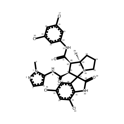 Cn1nccc1NC(=O)[C@H]1[C@@H](C(=O)Nc2cc(Cl)cc(Cl)c2)[C@H]2CCCN2C12C(=O)Nc1c(Cl)cc(Cl)cc12